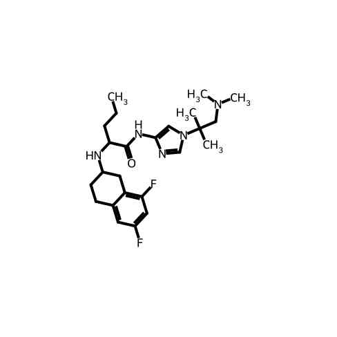 CCCC(NC1CCc2cc(F)cc(F)c2C1)C(=O)Nc1cn(C(C)(C)CN(C)C)cn1